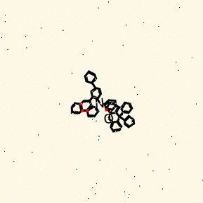 c1ccc(-c2cccc(N(c3ccc(-c4ccccc4C4(c5ccccc5)c5ccccc5Oc5ccccc54)cc3)c3ccc(-c4ccccc4)cc3-c3ccccc3)c2)cc1